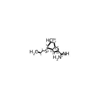 C=CCSc1cccc2sc(C(=N)N)cc12.Cl